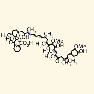 CO[C@@H]1C[C@H](C[C@@H](C)[C@@H](C)CC(=O)[C@H](C)/C=C(\C)[C@@H](O)[C@@H](OC)C(=O)[C@H](C)C[C@H](C)/C=C/C=C/C=C(\C)C(O)C[C@@H]2CC[C@@H](C)C(O)(C(=O)C(=O)N3CCCC[C@H]3C(=O)O)O2)CC[C@H]1O